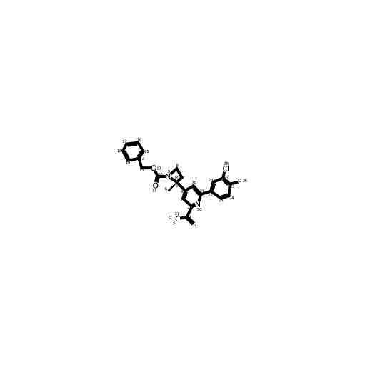 C=C(c1cc([C@@]2(C)CCN2C(=O)OCc2ccccc2)cc(-c2ccc(F)c(Cl)c2)n1)C(F)(F)F